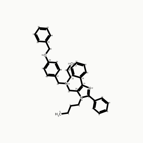 CCCCn1c(-c2ccccc2)nc(-c2ccccc2)c1CN(CCC)Cc1ccc(OCc2ccccc2)cc1